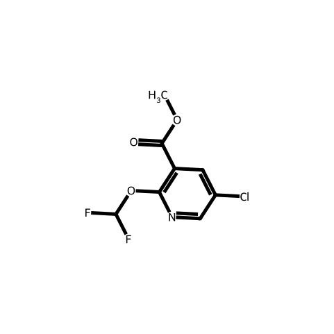 COC(=O)c1cc(Cl)cnc1OC(F)F